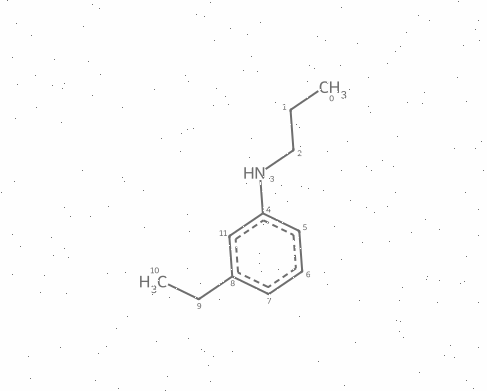 CCCNc1cccc(CC)c1